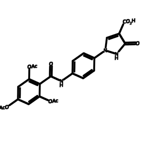 CC(=O)Oc1cc(OC(C)=O)c(C(=O)Nc2ccc(-n3cc(C(=O)O)c(=O)[nH]3)cc2)c(OC(C)=O)c1